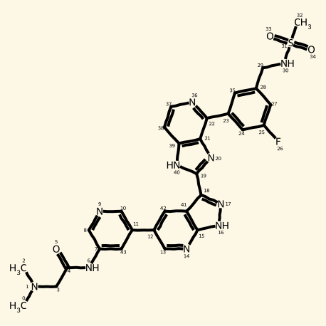 CN(C)CC(=O)Nc1cncc(-c2cnc3[nH]nc(-c4nc5c(-c6cc(F)cc(CNS(C)(=O)=O)c6)nccc5[nH]4)c3c2)c1